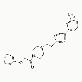 Nc1cccc(-c2ccc(CCN3CCN(C(=O)COc4ccccc4)CC3)cc2)n1